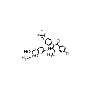 CCc1c(C(=O)c2ccc(Cl)cc2)c2ccc(OC(F)(F)F)cc2n1Cc1cccc(O[C@H](CC)C(=O)O)c1